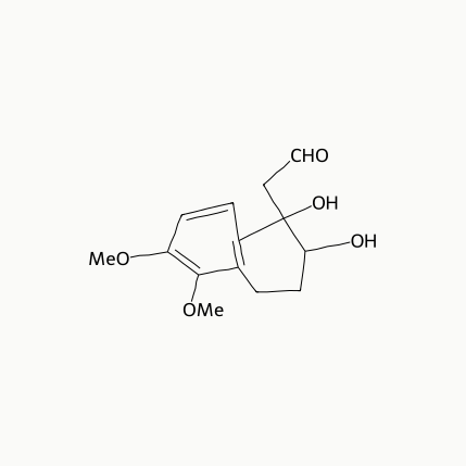 COc1ccc2c(c1OC)CCC(O)C2(O)CC=O